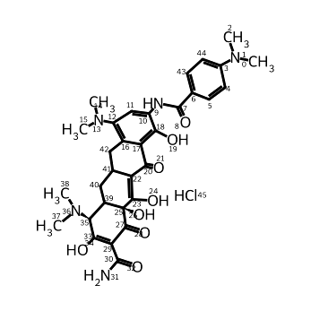 CN(C)c1ccc(C(=O)Nc2cc(N(C)C)c3c(c2O)C(=O)C2=C(O)[C@]4(O)C(=O)C(C(N)=O)=C(O)[C@@H](N(C)C)C4CC2C3)cc1.Cl